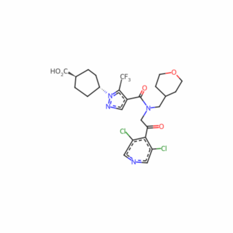 O=C(CN(CC1CCOCC1)C(=O)c1cnn([C@H]2CC[C@H](C(=O)O)CC2)c1C(F)(F)F)c1c(Cl)cncc1Cl